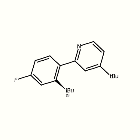 CC[C@H](C)c1cc(F)ccc1-c1cc(C(C)(C)C)ccn1